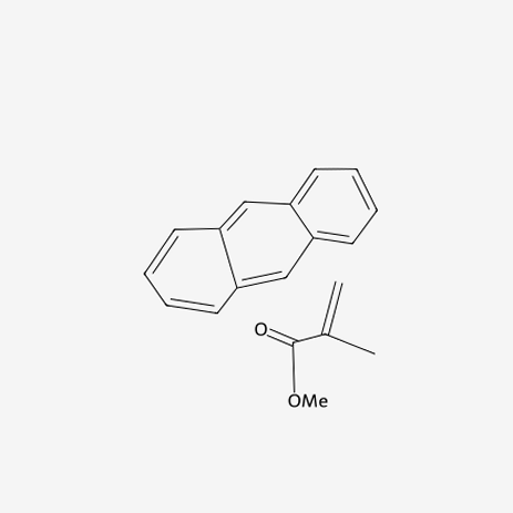 C=C(C)C(=O)OC.c1ccc2cc3ccccc3cc2c1